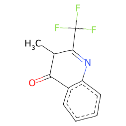 CC1C(=O)c2ccccc2N=C1C(F)(F)F